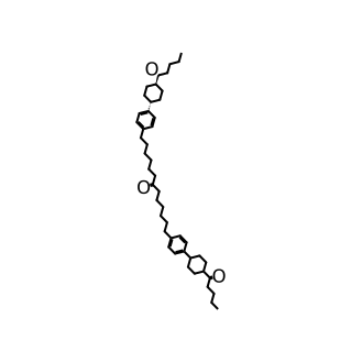 CCCCC(=O)C1CCC(c2ccc(CCCCCCC(=O)CCCCCCc3ccc([C@H]4CC[C@H](C(=O)CCCC)CC4)cc3)cc2)CC1